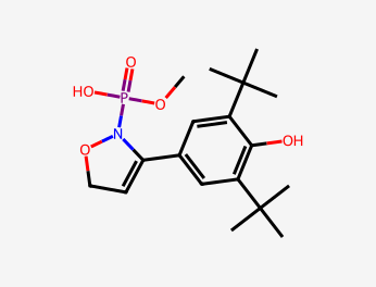 COP(=O)(O)N1OCC=C1c1cc(C(C)(C)C)c(O)c(C(C)(C)C)c1